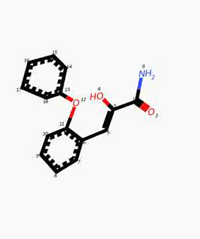 NC(=O)/C(O)=C/c1ccccc1Oc1ccccc1